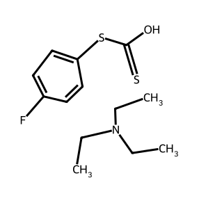 CCN(CC)CC.OC(=S)Sc1ccc(F)cc1